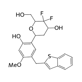 COc1cc(O)c(C2CC(O)C(F)(F)C(CO)O2)cc1Cc1cc2ccccc2s1